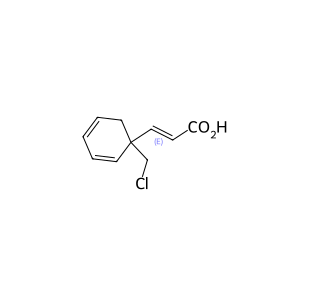 O=C(O)/C=C/C1(CCl)C=CC=CC1